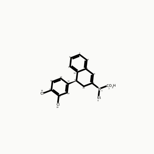 CCN(C(=O)O)C1=Cc2ccccc2[C@H](c2ccc(Cl)c(Cl)c2)C1